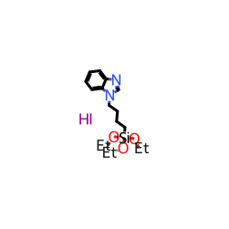 CCO[Si](CCCCn1cnc2ccccc21)(OCC)OCC.I